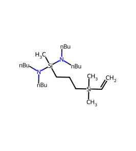 C=C[Si](C)(C)CCC[Si](C)(N(CCCC)CCCC)N(CCCC)CCCC